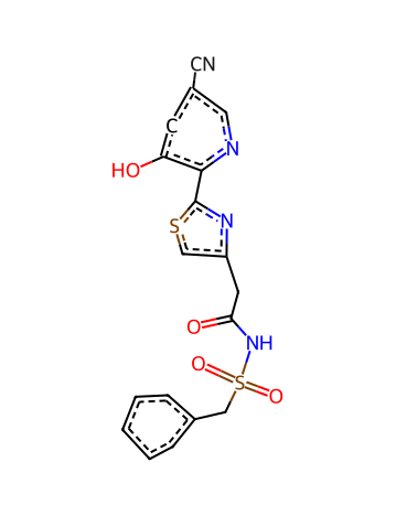 N#Cc1cnc(-c2nc(CC(=O)NS(=O)(=O)Cc3ccccc3)cs2)c(O)c1